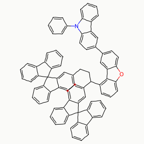 c1ccc(-n2c3ccccc3c3cc(-c4ccc5oc6cccc(C(CCc7ccc8c(c7)C7(c9ccccc9-c9ccccc97)c7ccccc7-8)c7ccc8c(c7)C7(c9ccccc9-c9ccccc97)c7ccccc7-8)c6c5c4)ccc32)cc1